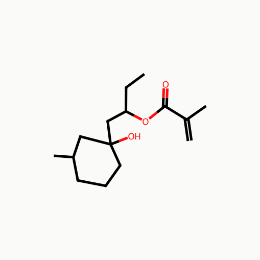 C=C(C)C(=O)OC(CC)CC1(O)CCCC(C)C1